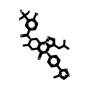 CC(C)Cc1cnn2c3c(c(=O)n(-c4ccc(-c5nncn5C)cc4)c12)CC(C)N(C(=O)c1ccc(Br)c(C(F)(F)F)c1)C3